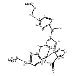 COCOc1ccc(N(C)c2ccc3c(c2)Oc2cc(OCOC)ccc2C32OC(=O)c3ccccc32)cc1